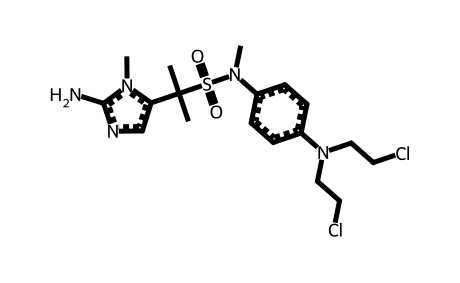 CN(c1ccc(N(CCCl)CCCl)cc1)S(=O)(=O)C(C)(C)c1cnc(N)n1C